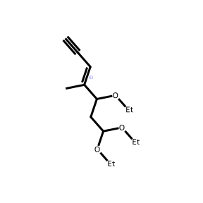 C#C/C=C(\C)C(CC(OCC)OCC)OCC